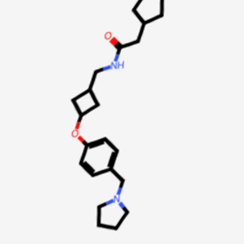 O=C(CC1CCCC1)NCC1CC(Oc2ccc(CN3CCCC3)cc2)C1